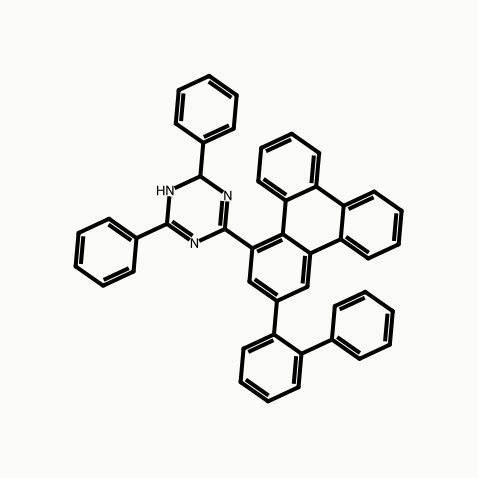 c1ccc(C2=NC(c3cc(-c4ccccc4-c4ccccc4)cc4c5ccccc5c5ccccc5c34)=NC(c3ccccc3)N2)cc1